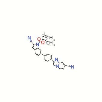 CC(C)(C)OC(=O)n1c(C#N)cc2ccc(-c3ccc(-c4cn5ccc(C#N)cc5n4)cc3)cc21